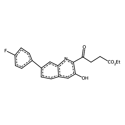 CCOC(=O)CCC(=O)c1nc2cc(-c3ccc(F)cc3)ccc2cc1O